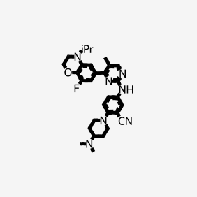 Cc1cnc(Nc2ccc(N3CCC(N(C)C)CC3)c(C#N)c2)nc1-c1cc(F)c2c(c1)N(C(C)C)CCO2